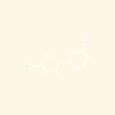 COc1ncc(-c2cccc(C(C)C)c2)cn1